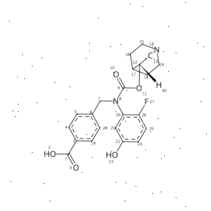 O=C(O)c1ccc(CN(C(=O)O[C@H]2CN3CCC2CC3)c2cc(O)ccc2F)cc1